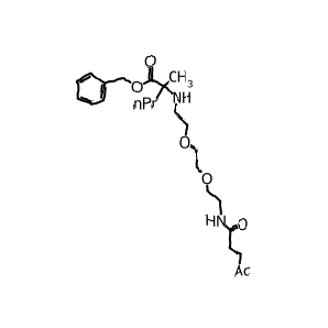 CCCC(C)(NCCOCCOCCNC(=O)CCC(C)=O)C(=O)OCc1ccccc1